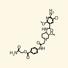 COc1nc(N)c(Cl)cc1C(=O)N[C@@H]1CCN(CC(=O)Nc2ccc(C(=O)OCC(N)=O)cc2)C[C@@H]1OC